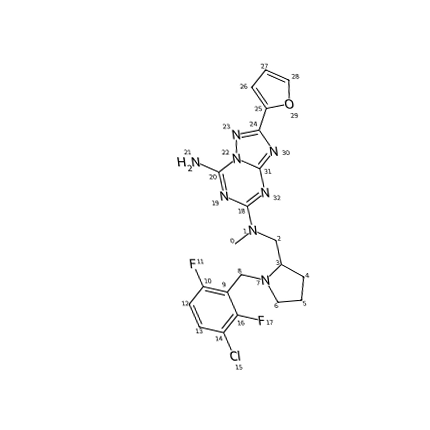 CN(CC1CCCN1Cc1c(F)ccc(Cl)c1F)c1nc(N)n2nc(-c3ccco3)nc2n1